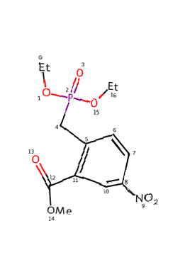 CCOP(=O)(Cc1ccc([N+](=O)[O-])cc1C(=O)OC)OCC